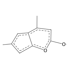 Cc1cc2oc([O])cc(C)c-2c1